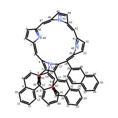 C1=Cc2cc3c(-c4ccc5ccccc5c4)c(-c4ccc5ccccc5c4)c(c(-c4ccc5ccccc5c4)c4nc(cc5ccc(cc1n2)[nH]5)C=C4)n3-c1ccc2ccccc2c1